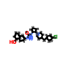 O=C(Nc1ccc2c(O)cccc2c1)NC1CCCC1N1CCC(Cc2ccc(Cl)cc2)CC1